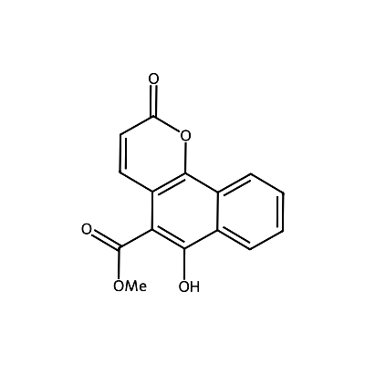 COC(=O)c1c(O)c2ccccc2c2oc(=O)ccc12